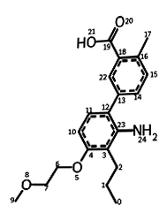 CCCc1c(OCCOC)ccc(-c2ccc(C)c(C(=O)O)c2)c1N